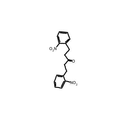 O=C(CCc1ccccc1[N+](=O)[O-])CCc1ccccc1[N+](=O)[O-]